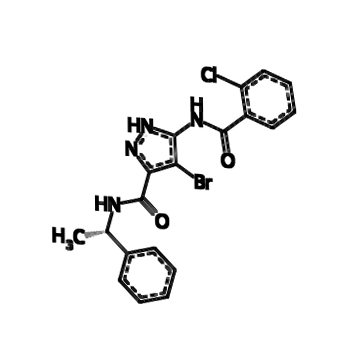 C[C@H](NC(=O)c1n[nH]c(NC(=O)c2ccccc2Cl)c1Br)c1ccccc1